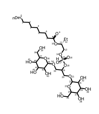 CCCCCCCCCCCCCCCCCC(=O)O[C@H](CC)COP(=O)(O)OC(COC1OC(CO)C(O)C(O)C1O)COC1OC(CO)C(O)C(O)C1O